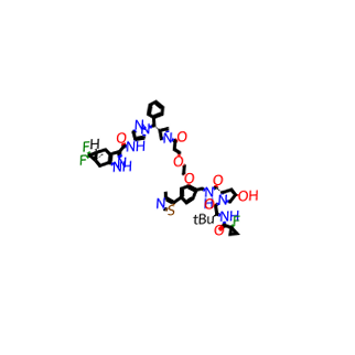 Cc1ncsc1-c1ccc(CNC(=O)[C@@H]2C[C@@H](O)CN2C(=O)[C@@H](NC(=O)C2(F)CC2)C(C)(C)C)c(OCCOCCC(=O)N2CC([C@@H](c3ccccc3)n3cc(NC(=O)c4n[nH]c5c4C[C@@H]4C(F)(F)[C@]4(C)C5)cn3)C2)c1